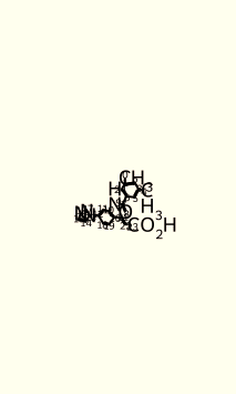 Cc1cc(C)cc(C(=O)Nc2cc(-n3ccnn3)ccc2C=CC(=O)O)c1